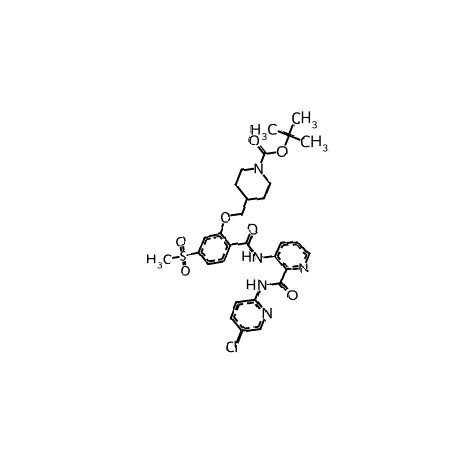 CC(C)(C)OC(=O)N1CCC(COc2cc(S(C)(=O)=O)ccc2C(=O)Nc2cccnc2C(=O)Nc2ccc(Cl)cn2)CC1